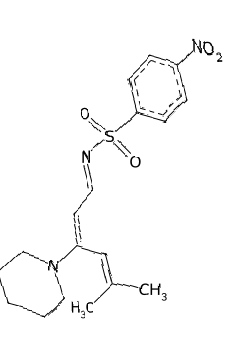 CC(C)=C/C(=C\C=N\S(=O)(=O)c1ccc([N+](=O)[O-])cc1)N1CCCCC1